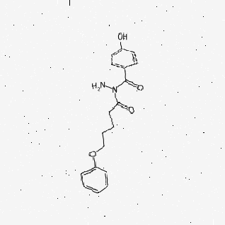 NN(C(=O)CCCCOc1ccccc1)C(=O)c1ccc(O)cc1